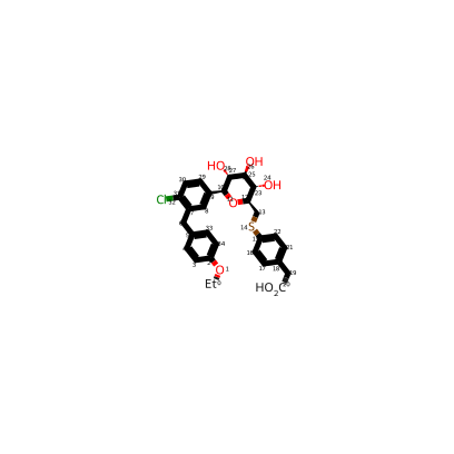 CCOc1ccc(Cc2cc([C@@H]3O[C@H](CSc4ccc(CC(=O)O)cc4)[C@@H](O)[C@H](O)[C@H]3O)ccc2Cl)cc1